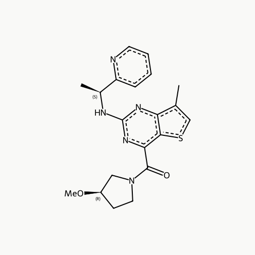 CO[C@@H]1CCN(C(=O)c2nc(N[C@@H](C)c3ccccn3)nc3c(C)csc23)C1